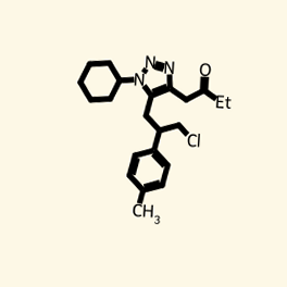 CCC(=O)Cc1nnn(C2CCCCC2)c1CC(CCl)c1ccc(C)cc1